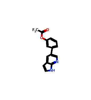 O=C(Oc1cccc(-c2cnc3[nH]ccc3c2)c1)C(F)(F)F